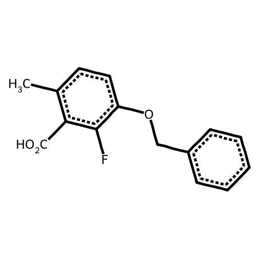 Cc1ccc(OCc2ccccc2)c(F)c1C(=O)O